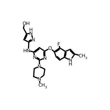 Cc1cc2c(F)c(Oc3cc(Nc4cc(CO)[nH]n4)nc(N4CCN(C)CC4)n3)ccc2[nH]1